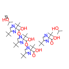 CC(C)(C)C1=NC(C(=O)O)(C(C)(C)C)N=C1.CC(C)(C)C1=NC(C(=O)O)(C(C)(C)C)N=C1.CC(C)(C)C1=NC(C(=O)O)(C(C)(C)C)N=C1.CC(C)(C)C1=NC(C(=O)O)(C(C)(C)C)N=C1.CC(C)O.CC(C)O.[Ti]